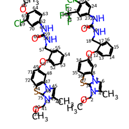 COCN1C(C)=CN2c3cc(Oc4ccccc4CNC(=O)Nc4ccc(Cl)c(C(F)(F)F)c4)ccc3SC12.COCN1C(C)=CN2c3cc(Oc4ccccc4CNC(=O)Nc4ccc(OC)c(Cl)c4)ccc3SC12